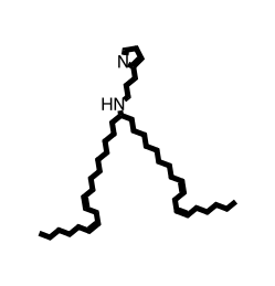 CCCCC/C=C\C/C=C\CCCCCCCCC(CCCCCCCC/C=C\C/C=C\CCCCC)NCCCC1=CCC=N1